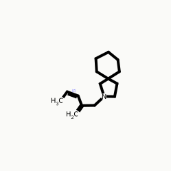 C=C(/C=C\C)CN1CCC2(CCCCC2)C1